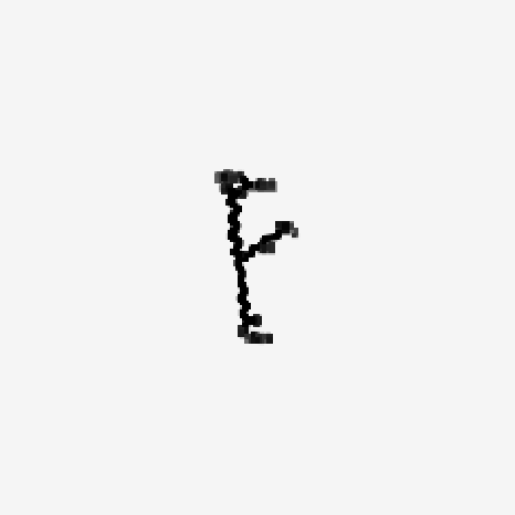 CCCCCCCCCOC(=O)CCCCCCCN(CCCCCCCC(=O)OC(CCCCCCCC)CCCCCCCC)CCNCCN